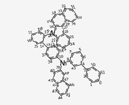 c1ccc(-c2cccc(N(c3ccc(-c4ccccc4-n4c5ccccc5c5c6ccccc6ccc54)cc3)c3ccc4ccccc4c3)c2)cc1